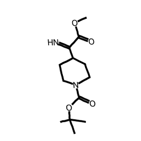 COC(=O)C(=N)C1CCN(C(=O)OC(C)(C)C)CC1